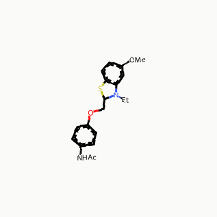 CCN1c2cc(OC)ccc2SC1COc1ccc(NC(C)=O)cc1